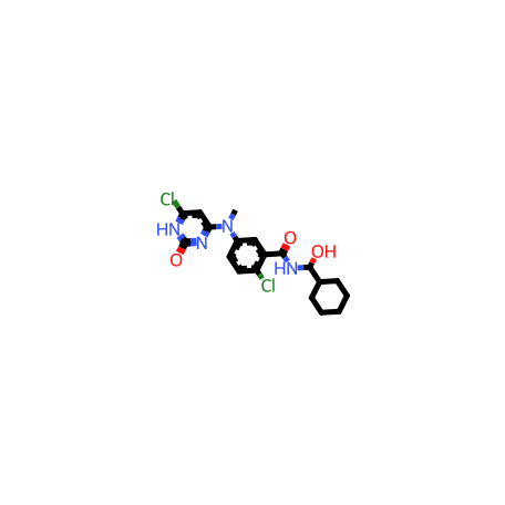 CN(c1ccc(Cl)c(C(=O)NC(O)C2CCCCC2)c1)c1cc(Cl)[nH]c(=O)n1